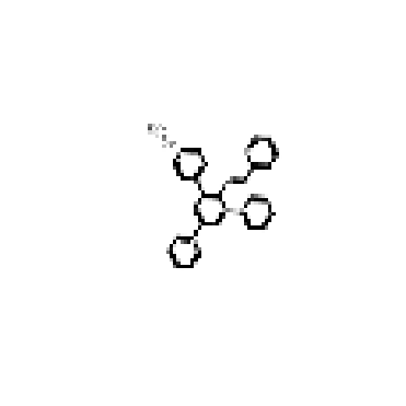 C(=N\c1c(-c2ccccc2)cc(-c2ccccc2)cc1-c1ccccc1)/c1ccccn1.[Cl-].[Cl-].[Fe+2]